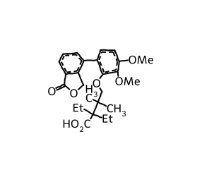 CCC(CC)(C(=O)O)C(C)(C)COc1c(-c2cccc3c2COC3=O)ccc(OC)c1OC